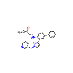 COC(=O)CCNc1ccc(-c2ccccc2)cc1-c1ccn(Cc2cccnc2)n1